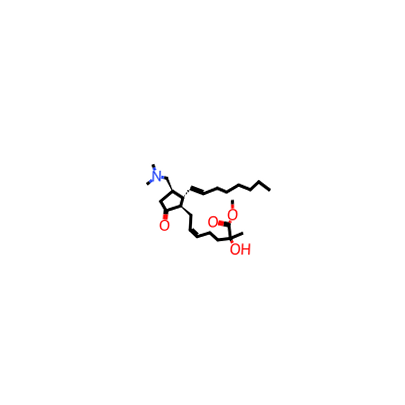 CCCCCC/C=C/[C@H]1[C@H](CN(C)C)CC(=O)[C@@H]1C/C=C\CCC(C)(O)C(=O)OC